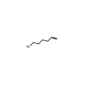 [CH]=CCCCCC#N